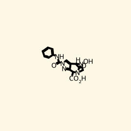 O=C(O)C1c2nn(C(=O)Nc3ccccc3)cc2[C@H]2C(=O)N1CN2O